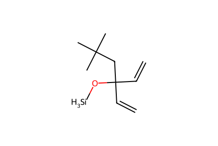 C=CC(C=C)(CC(C)(C)C)O[SiH3]